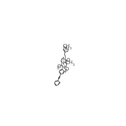 Cn1cc(CCN2CCN3C(=O)N(c4c(F)cc(C#Cc5ccccc5)cc4F)C(=O)C[C@@]3(C)C2=O)cn1